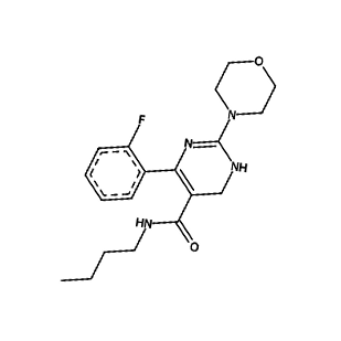 CCCCNC(=O)C1=C(c2ccccc2F)N=C(N2CCOCC2)NC1